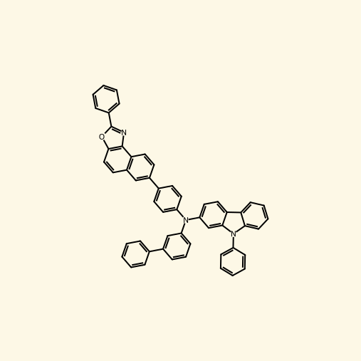 c1ccc(-c2cccc(N(c3ccc(-c4ccc5c(ccc6oc(-c7ccccc7)nc65)c4)cc3)c3ccc4c5ccccc5n(-c5ccccc5)c4c3)c2)cc1